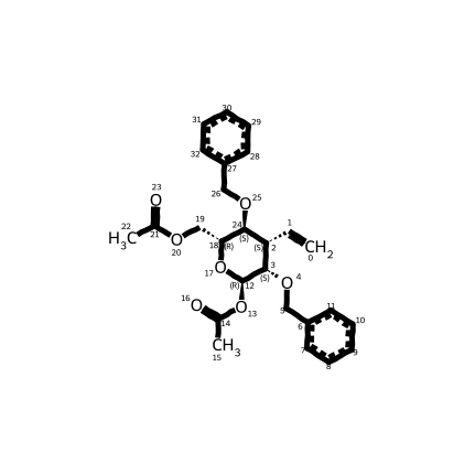 C=C[C@@H]1[C@H](OCc2ccccc2)[C@@H](OC(C)=O)O[C@H](COC(C)=O)[C@H]1OCc1ccccc1